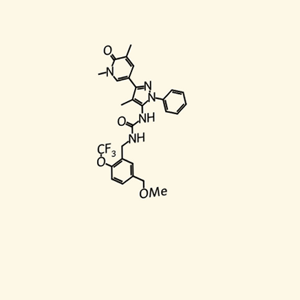 COCc1ccc(OC(F)(F)F)c(CNC(=O)Nc2c(C)c(-c3cc(C)c(=O)n(C)c3)nn2-c2ccccc2)c1